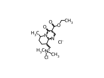 CCOC(=O)c1cnc2n(c1=O)C(C)CCC2=C[N+](C)(C)Cl.[Cl-]